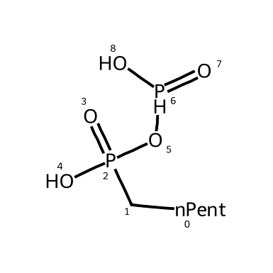 CCCCCCP(=O)(O)O[PH](=O)O